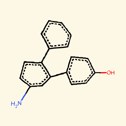 Nc1ccc(-c2ccccc2)c(-c2ccc(O)cc2)c1